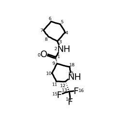 O=C(NC1CCCCC1)[C@H]1CC[C@@H](C(F)(F)F)NC1